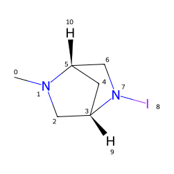 CN1C[C@@H]2C[C@H]1CN2I